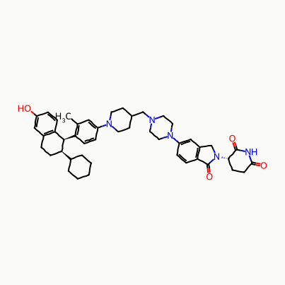 Cc1cc(N2CCC(CN3CCN(c4ccc5c(c4)CN([C@H]4CCC(=O)NC4=O)C5=O)CC3)CC2)ccc1[C@@H]1c2ccc(O)cc2CC[C@@H]1C1CCCCC1